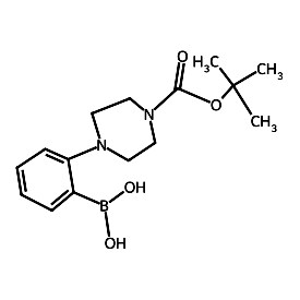 CC(C)(C)OC(=O)N1CCN(c2ccccc2B(O)O)CC1